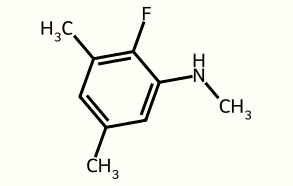 CNc1cc(C)cc(C)c1F